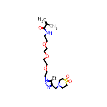 C=C(C)C(=O)NCCOCCOCCOCCn1nnc(CN2CCS(=O)(=O)CC2)c1CC